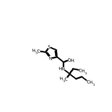 CCCC(C)(CC)NC(O)c1csc(C)n1